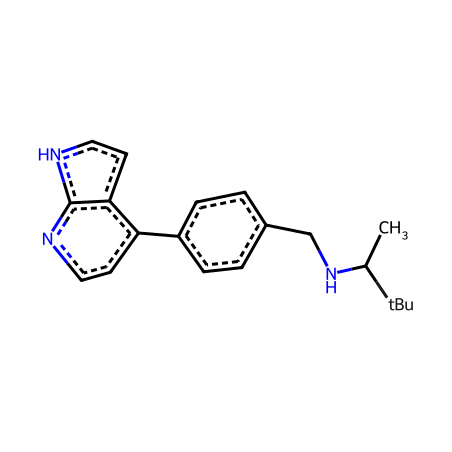 CC(NCc1ccc(-c2ccnc3[nH]ccc23)cc1)C(C)(C)C